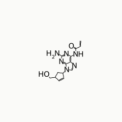 C=CC(=O)Nc1nc(N)nc2c1ncn2C1C=CC(CO)C1